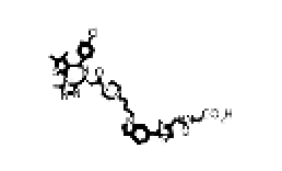 Cc1sc2c(c1C)C(c1ccc(Cl)cc1)=N[C@@H](CC(=O)N1CCN(CCCn3ccc4ccc(-c5nc(CC(=O)NCC(=O)O)cs5)cc43)CC1)c1nnc(C)n1-2